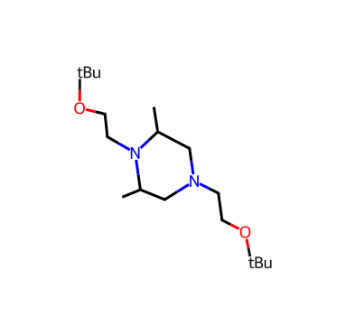 CC1CN(CCOC(C)(C)C)CC(C)N1CCOC(C)(C)C